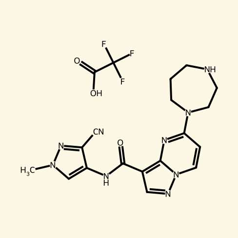 Cn1cc(NC(=O)c2cnn3ccc(N4CCCNCC4)nc23)c(C#N)n1.O=C(O)C(F)(F)F